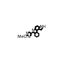 COc1ncc(-c2nc3ccc4[nH]ccc4c3c3c2CCCC3)cn1